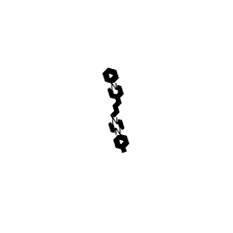 Cc1ccc(N2CCN(CCCCC3CCN(c4ccccc4)CC3)CC2)cc1